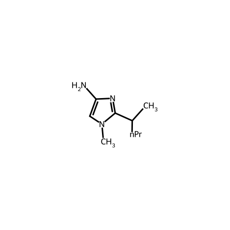 CCCC(C)c1nc(N)cn1C